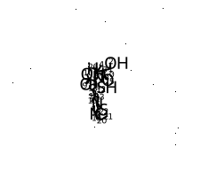 C[C@@H](O)[C@]12C[C@H]1N(/C(C(=O)O)=C(\S)SC1CN(C3=NCCCS3)C1)C2=O